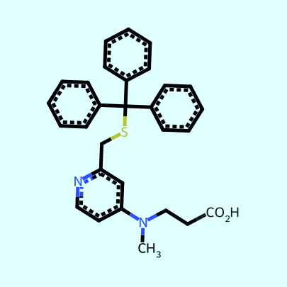 CN(CCC(=O)O)c1ccnc(CSC(c2ccccc2)(c2ccccc2)c2ccccc2)c1